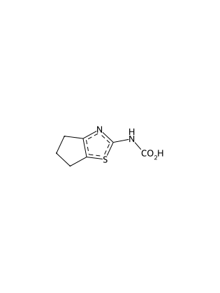 O=C(O)Nc1nc2c(s1)CCC2